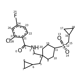 O=C(NCC1(CC2CC2)CCC(S(=O)(=O)CC2CC2)CC1)c1ccc(F)cc1Cl